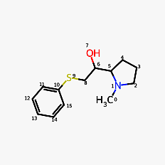 CN1CCCC1C(O)CSc1ccccc1